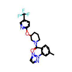 Cc1ccc(C(=O)N2CCCC(Oc3ccc(C(F)(F)F)cn3)C2)c(-n2nccn2)c1